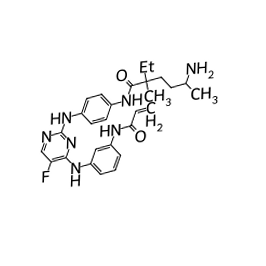 C=CC(=O)Nc1cccc(Nc2nc(Nc3ccc(NC(=O)C(C)(CC)CCC(C)N)cc3)ncc2F)c1